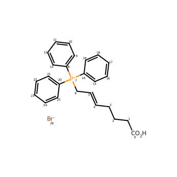 O=C(O)CCC/C=C/C[P+](c1ccccc1)(c1ccccc1)c1ccccc1.[Br-]